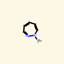 CC(C)(C)N1C=CC=CC=N1